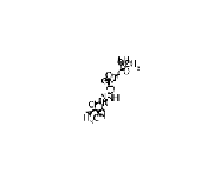 CON(C)C(=O)CCCCN(C(=O)O)C1CCC(Nc2ncc(Cl)c(-c3cnn(C)c3CC3CC3)n2)CC1